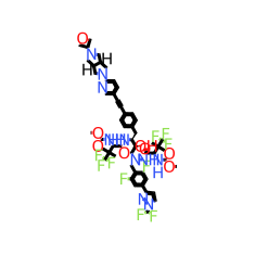 COC(=O)NC(C(=O)N[C@@H](Cc1ccc(C#Cc2ccc(N3C[C@@H]4CN(C5COC5)C[C@@H]4C3)nc2)cc1)[C@@H](O)CN(Cc1c(F)cc(-c2ccn(C(F)F)n2)cc1F)NC(=O)[C@@H](NC(=O)OC)C(C)(C)C(F)(F)F)C(C)(C)C(F)(F)F